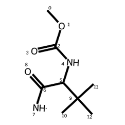 COC(=O)NC(C([NH])=O)C(C)(C)C